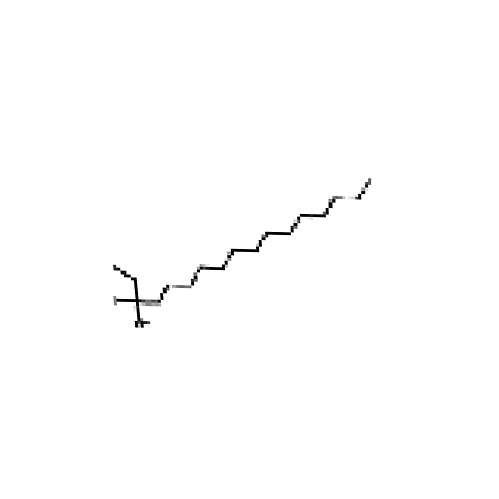 CCCC(I)(CI)CCCCCCCCCCCCCI